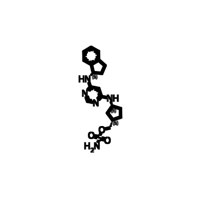 NS(=O)(=O)OC[C@H]1CC[C@H](Nc2cc(N[C@H]3CCc4ccccc43)ncn2)C1